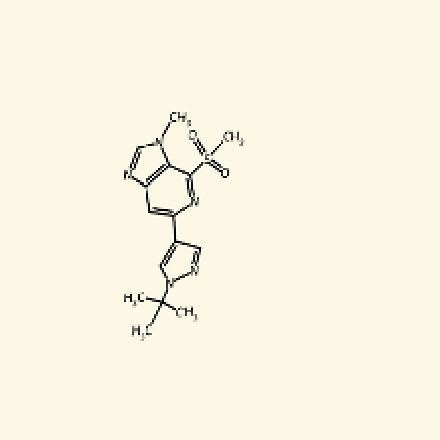 Cn1cnc2cc(-c3cnn(C(C)(C)C)c3)nc(S(C)(=O)=O)c21